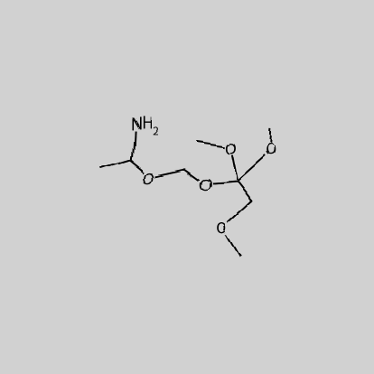 COCC(OC)(OC)OCOC(C)N